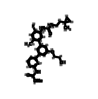 COC(=O)Nc1nccc(-c2cc(OCCO)cc(-c3cc(NC(=O)NCCC4(C)CC4)c(F)cc3C)c2)n1